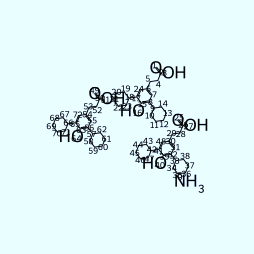 N.O=C(O)CCc1cc(C2CCCCC2)c(O)c(C2CCCCC2)c1.O=C(O)CCc1cc(C2CCCCC2)c(O)c(C2CCCCC2)c1.O=C(O)CCc1cc(C2CCCCC2)c(O)c(C2CCCCC2)c1